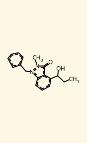 CCC(O)c1cccc2c1c(=O)n(C)n2Cc1ccccc1